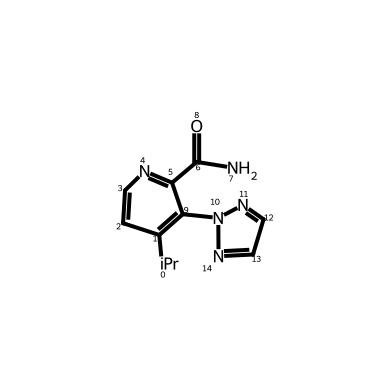 CC(C)c1ccnc(C(N)=O)c1-n1nccn1